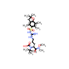 CON(C)C(=O)[C@H](CCCNC(=N)NS(=O)(=O)c1c(C)c(C)c2c(c1C)CC(C)(C)O2)N(C(=O)O)C(C)(C)C